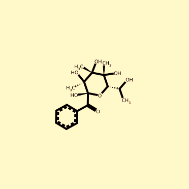 CC(O)[C@@H]1O[C@](O)(C(=O)c2ccccc2)[C@@](C)(O)[C@](C)(O)[C@]1(C)O